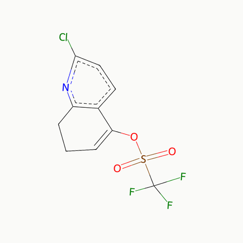 O=S(=O)(OC1=CCCc2nc(Cl)ccc21)C(F)(F)F